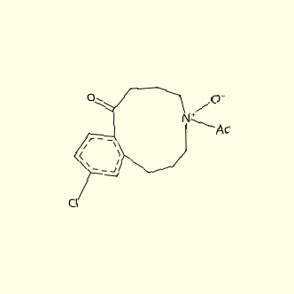 CC(=O)[N+]1([O-])CCCC(=O)c2ccc(Cl)cc2CCC1